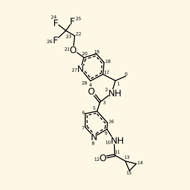 CC(NC(=O)c1ccnc(NC(=O)C2CC2)c1)c1ccc(OCC(F)(F)F)nc1